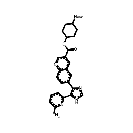 CNC1CCC(OC(=O)c2cnc3ccc(-c4nc[nH]c4-c4cccc(C)n4)cc3c2)CC1